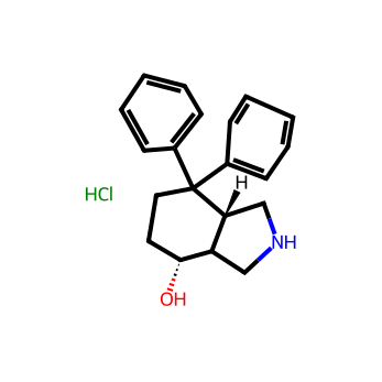 Cl.O[C@@H]1CCC(c2ccccc2)(c2ccccc2)[C@@H]2CNCC12